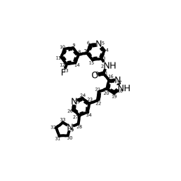 O=C(Nc1cncc(-c2cccc(F)c2)c1)c1n[nH]cc1/C=C/c1cncc(CN2CCCC2)c1